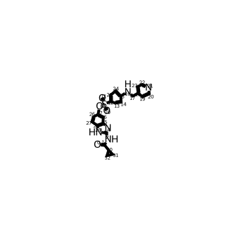 O=C(Nc1nc2cc(OS(=O)(=O)c3ccc(NCc4ccncc4)cc3)ccc2[nH]1)C1CC1